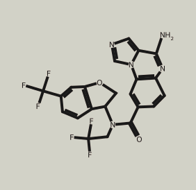 Nc1nc2ccc(C(=O)N(CC(F)(F)F)C3COc4cc(C(F)(F)F)ccc43)cc2n2cncc12